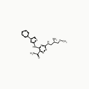 COC[C@H](N)CNc1nnc(C(N)=O)c(Nc2cc(-c3ccccc3)cs2)n1